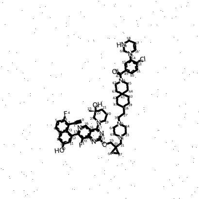 C#Cc1c(F)ccc2cc(O)cc(-c3ncc4c(N5CCC[C@@](C)(O)C5)nc(OCC5(CN6CCN(CCC7CCC8(CC7)CCN(C(=O)c7ccc(Cl)c(N9C=CCNC9)c7)CC8)CC6)CC5)nc4c3F)c12